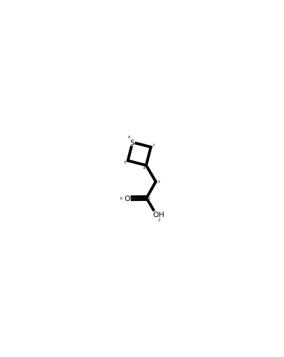 O=C(O)CC1CSC1